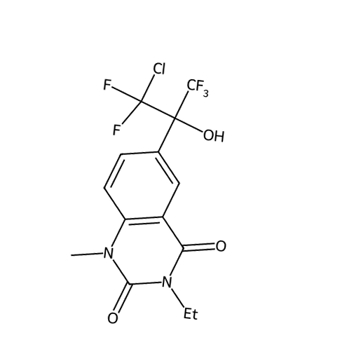 CCn1c(=O)c2cc(C(O)(C(F)(F)F)C(F)(F)Cl)ccc2n(C)c1=O